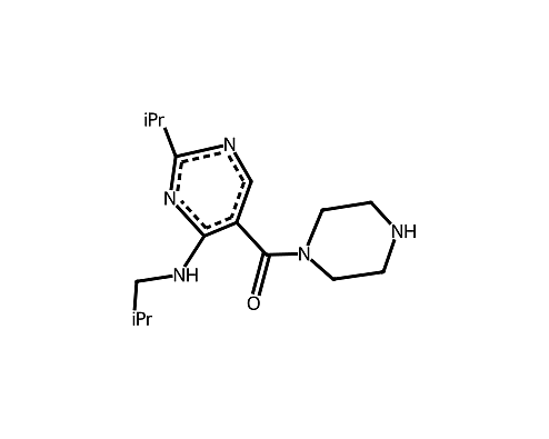 CC(C)CNc1nc(C(C)C)ncc1C(=O)N1CCNCC1